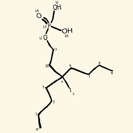 CCCCC(I)(CCCC)CCOP(=O)(O)O